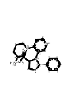 NC(=O)C1=CS[C@@H](c2ccccc2)N1c1cnccc1N1CCCC(N)C1